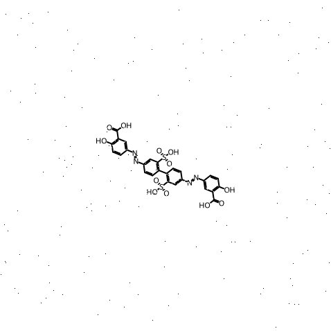 O=C(O)c1cc(N=Nc2ccc(-c3ccc(N=Nc4ccc(O)c(C(=O)O)c4)cc3S(=O)(=O)O)c(S(=O)(=O)O)c2)ccc1O